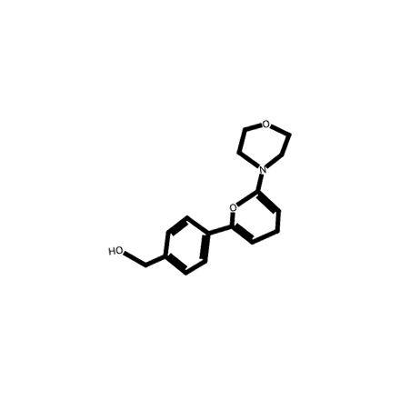 OCc1ccc(C2=CCC=C(N3CCOCC3)O2)cc1